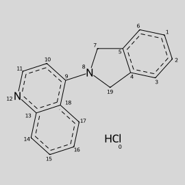 Cl.c1ccc2c(c1)CN(c1ccnc3ccccc13)C2